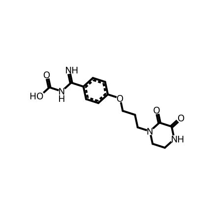 N=C(NC(=O)O)c1ccc(OCCCN2CCNC(=O)C2=O)cc1